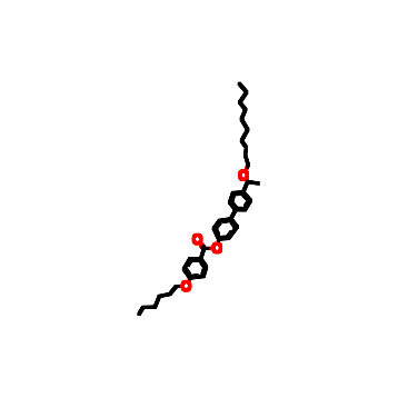 CCCCCCCCCCOC(C)c1ccc(-c2ccc(OC(=O)c3ccc(OCCCCCC)cc3)cc2)cc1